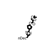 CCCCCCCCCCCc1cnc(-c2ccc(OC(=O)C3COC(C)(C)O3)cc2)nc1